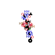 CC(C)C(=O)Nc1nc2c(ncn2[C@@H]2O[C@@H]3COP(=O)(S)O[C@@H]4C(F)[C@H](n5cnc6c(NC(=O)c7ccccc7)ncnc65)O[C@@H]4COP(=O)(S)OC2[C@H]3O[Si](C)(C)C(C)(C)C)c(=O)[nH]1